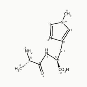 C[C@H](N)C(=O)N[C@@H](Cc1cn(C)cn1)C(=O)O